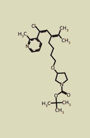 CC(C)=C(/C=C(/Cl)c1cccnc1C)CCCCOC1CCN(C(=O)OC(C)(C)C)C1